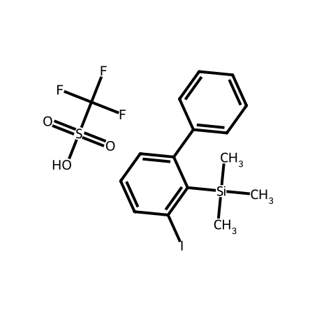 C[Si](C)(C)c1c(I)cccc1-c1ccccc1.O=S(=O)(O)C(F)(F)F